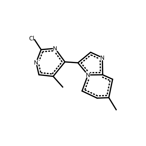 Cc1ccn2c(-c3nc(Cl)ncc3C)cnc2c1